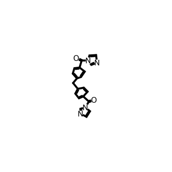 O=C(c1ccc(Cc2ccc(C(=O)n3ccnc3)cc2)cc1)n1ccnc1